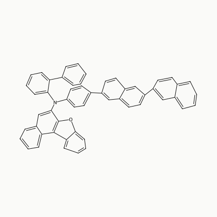 c1ccc(-c2ccccc2N(c2ccc(-c3ccc4cc(-c5ccc6ccccc6c5)ccc4c3)cc2)c2cc3ccccc3c3c2oc2ccccc23)cc1